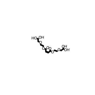 O=C(/C=C\C(=O)OCCOCC(O)O)OCCOCC(O)O